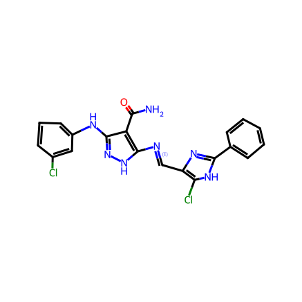 NC(=O)c1c(Nc2cccc(Cl)c2)n[nH]c1/N=C/c1nc(-c2ccccc2)[nH]c1Cl